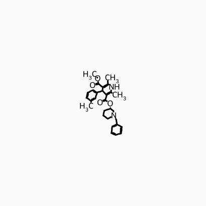 COC(=O)C1=C(C)NC(C)=C(C(=O)O[C@H]2CCCN(Cc3ccccc3)C2)C1c1cccc(C)c1